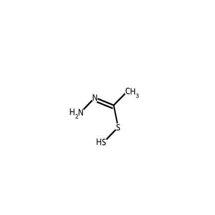 CC(=NN)SS